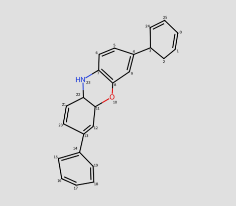 C1=CCC(c2ccc3c(c2)OC2C=C(c4ccccc4)C=CC2N3)C=C1